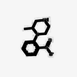 CC1CNCCN1c1ccccc1[N+](=O)[O-]